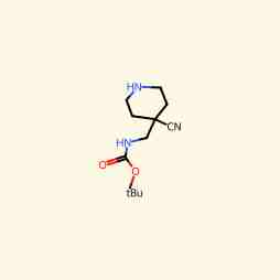 CC(C)(C)OC(=O)NCC1(C#N)CCNCC1